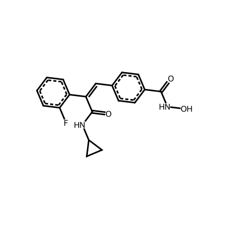 O=C(NC1CC1)/C(=C\c1ccc(C(=O)NO)cc1)c1ccccc1F